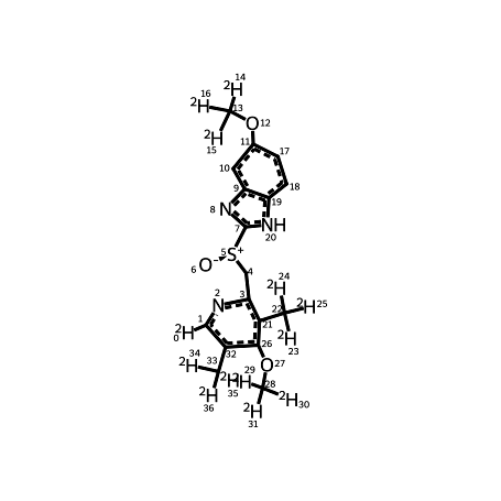 [2H]c1nc(C[S@@+]([O-])c2nc3cc(OC([2H])([2H])[2H])ccc3[nH]2)c(C([2H])([2H])[2H])c(OC([2H])([2H])[2H])c1C([2H])([2H])[2H]